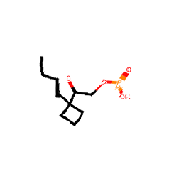 CCCCC1(C(=O)CO[PH](=O)O)CCC1